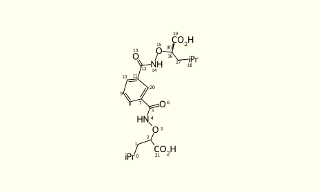 CC(C)CC(ONC(=O)c1cccc(C(=O)NO[C@H](CC(C)C)C(=O)O)c1)C(=O)O